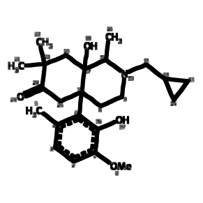 COc1ccc(C)c(C23CCN(CC4CC4)C(C)C2(O)CC(C)(C)C(=O)C3)c1O